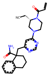 C=CC(=O)N1CCN(c2cc(CC3(C(N)=O)CCCc4ccccc43)ncn2)C[C@@H]1CC#N